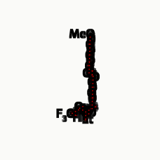 CCNc1ccc(NC(=O)c2cccc(CCCOCCOCCOCCOCCC(=O)N3CCN(CCOCCOCCOCCOCCOCCOCCOC)C(=O)C3)c2)c(-c2cc(C(=O)NCc3cccc(C(F)(F)F)c3)ccn2)c1